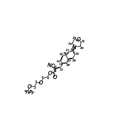 CCCOCCOCCOC(=O)/C(C#N)=C/c1ccc2cc(N3CCOCC3)ccc2c1